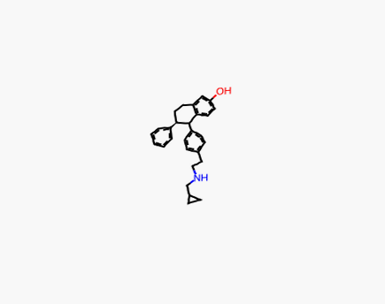 Oc1ccc2c(c1)CC[C@H](c1ccccc1)C2c1ccc(CCNCC2CC2)cc1